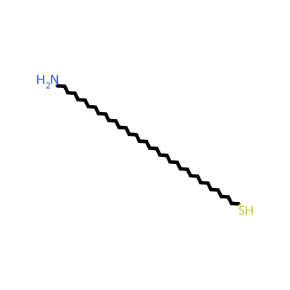 NCCCCCCCCCCCCCCCCCCCCCCCCCCCCCCCCCCCCS